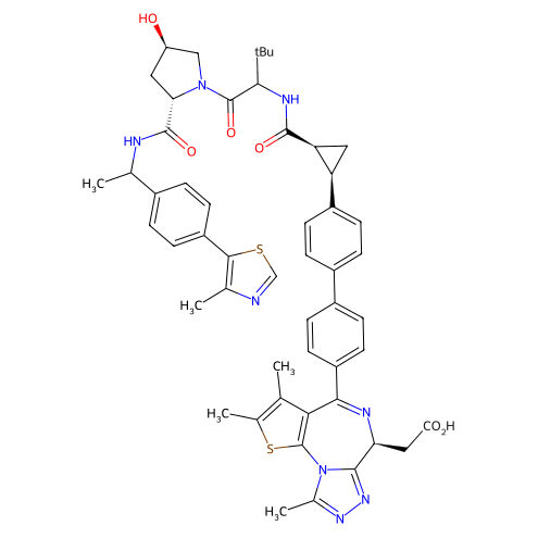 Cc1ncsc1-c1ccc(C(C)NC(=O)[C@@H]2C[C@@H](O)CN2C(=O)C(NC(=O)[C@H]2C[C@H]2c2ccc(-c3ccc(C4=N[C@@H](CC(=O)O)c5nnc(C)n5-c5sc(C)c(C)c54)cc3)cc2)C(C)(C)C)cc1